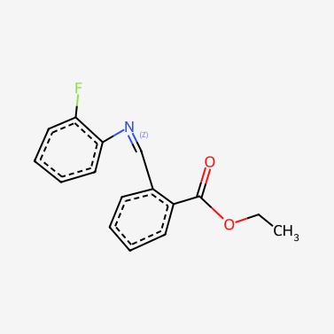 CCOC(=O)c1ccccc1/C=N\c1ccccc1F